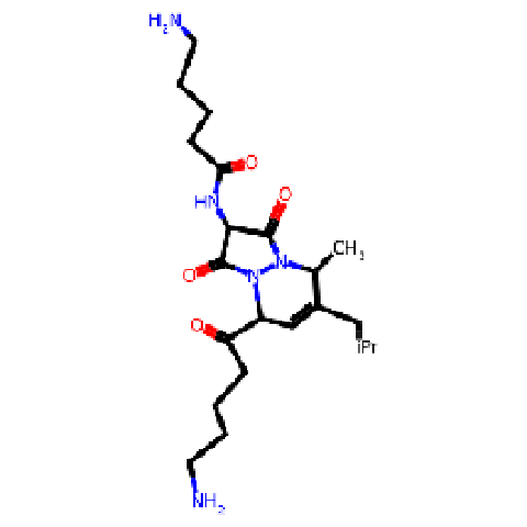 CC(C)CC1=CC(C(=O)CCCCN)N2C(=O)C(NC(=O)CCCCN)C(=O)N2C1C